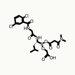 CC(C)C[C@H](NC(=O)CNC(=O)c1cc(Cl)ccc1Cl)B(OCC(=O)O)OC(=O)CC(=O)N(C)C